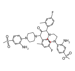 Cc1cc(F)ccc1C(C(=O)C(c1ccc(F)cc1C)N1CCN(c2ccc(S(C)(=O)=O)cc2N)CC1)N1CCN(c2ccc(S(C)(=O)=O)cc2N)CC1